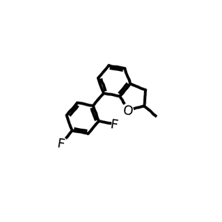 CC1Cc2cccc(-c3ccc(F)cc3F)c2O1